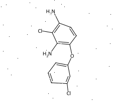 Nc1ccc(Oc2cccc(Cl)c2)c(N)c1Cl